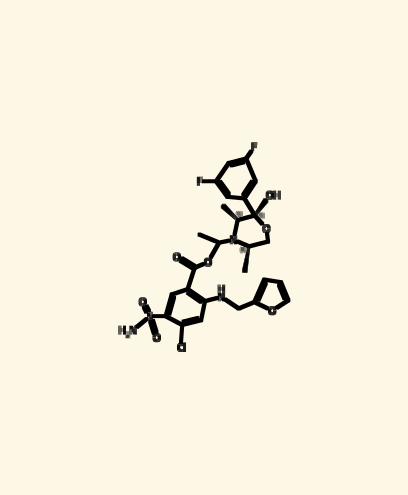 CC(OC(=O)c1cc(S(N)(=O)=O)c(Cl)cc1NCc1ccco1)N1[C@H](C)CO[C@@](O)(c2cc(F)cc(F)c2)[C@@H]1C